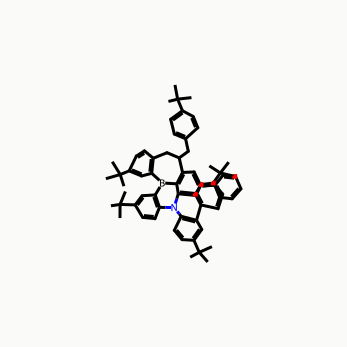 CC(C)(C)c1ccc(CC2Cc3ccc(C(C)(C)C)cc3B3c4cc(C(C)(C)C)ccc4N(c4ccc(C(C)(C)C)cc4-c4ccc(C(C)(C)C)cc4)c4cc(-c5ccccc5)cc2c43)cc1